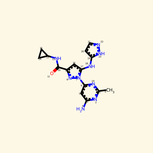 Cc1nc(N)cc(-n2nc(C(=O)NC3CC3)cc2Nc2ccn[nH]2)n1